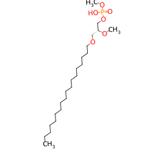 CCCCCCCCCCCCCCCCCCOC[C@H](COP(=O)(O)OC)OC